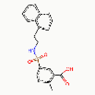 Cc1ccc(S(=O)(=O)NCCc2cccc3ccccc23)cc1C(=O)O